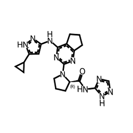 O=C(Nc1ncn[nH]1)[C@H]1CCCN1c1nc2c(c(Nc3cc(C4CC4)[nH]n3)n1)CCC2